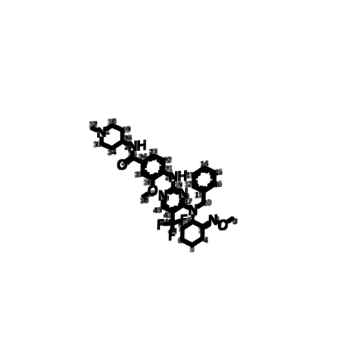 CO/N=C1\CCCC[C@H]1N(Cc1ccccc1)c1nc(Nc2ccc(C(=O)NC3CCN(C)CC3)cc2OC)ncc1C(F)(F)F